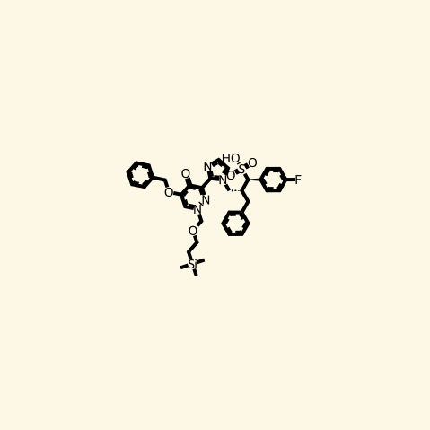 C[Si](C)(C)CCOCn1cc(OCc2ccccc2)c(=O)c(-c2nccn2C[C@@H](Cc2ccccc2)[C@H](c2ccc(F)cc2)S(=O)(=O)O)n1